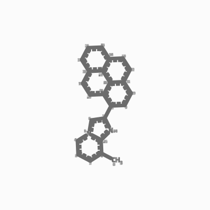 Cc1cccn2cc(-c3ccc4ccc5cccc6ccc3c4c56)nc12